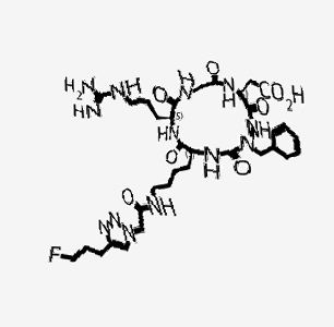 N=C(N)NCCC[C@@H]1NC(=O)[C@H](CCCCNC(=O)Cn2cc(CCCF)nn2)NC(=O)N(Cc2ccccc2)NC(=O)[C@H](CC(=O)O)NC(=O)CNC1=O